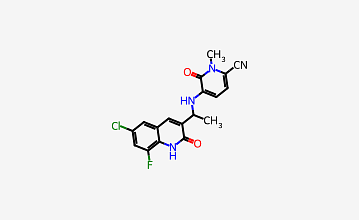 CC(Nc1ccc(C#N)n(C)c1=O)c1cc2cc(Cl)cc(F)c2[nH]c1=O